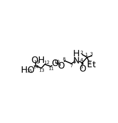 CCC(C)(C)C(=O)NCCOOCCCC(O)O